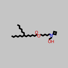 CCCCCCC(CCCCCC)CCCCCC(=O)OCCCCCN(CCO)C1CCC1